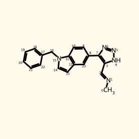 C/N=C/c1[nH]nnc1-c1ccc2c(ccn2Cc2ccccc2)c1